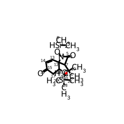 C[SiH](C)ON1C(=O)C(C(C)(C)C)C12C=CC(=O)CC2O[Si](C)(C)C